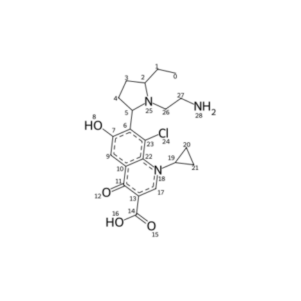 CCC1CCC(c2c(O)cc3c(=O)c(C(=O)O)cn(C4CC4)c3c2Cl)N1CCN